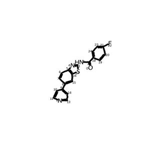 O=C(Nc1nc2ccc(-c3ccncc3)cc2s1)c1ccc(F)cc1